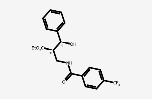 CCOC(=O)[C@H](CNC(=O)c1ccc(C(F)(F)F)cc1)[C@H](O)c1ccccc1